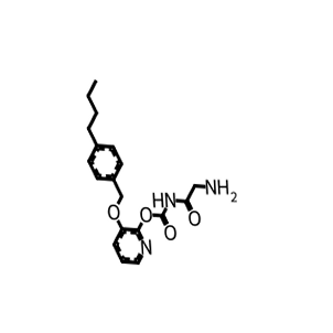 CCCCc1ccc(COc2cccnc2OC(=O)NC(=O)CN)cc1